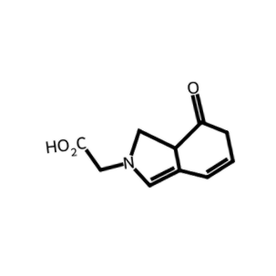 O=C(O)CN1C=C2C=CCC(=O)C2C1